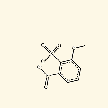 COc1cccc([N+](=O)[O-])c1S(=O)(=O)Cl